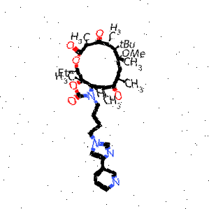 CC[C@H]1OC(=O)[C@H](C)C(=O)[C@H](C)[C@@H](C(C)(C)C)[C@](C)(OC)C[C@@H](C)C(=O)[C@H](C)[C@H]2N(CCCCn3cnc(-c4cccnc4)c3)C(=O)O[C@]12C